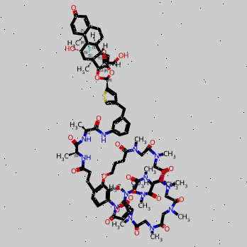 C[C@H](NC(=O)CCc1ccc(N2C(=O)C=CC2=O)c(F)c1OCCCC(=O)N(C)CC(=O)N(C)CC(=O)N(C)CC(=O)N(C)CC(=O)N(C)CC(=O)N(C)CC(=O)N(C)CC(=O)N(C)CC(=O)N(C)CC(=O)N(C)CC(=O)O)C(=O)N[C@@H](C)C(=O)Nc1cccc(Cc2csc([C@@H]3O[C@@H]4C[C@H]5[C@@H]6CCC7=CC(=O)C=C[C@]7(C)[C@@]6(F)[C@@H](O)C[C@]5(C)[C@]4(C(=O)CO)O3)c2)c1